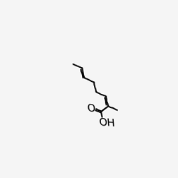 CC=CCCC=C(C)C(=O)O